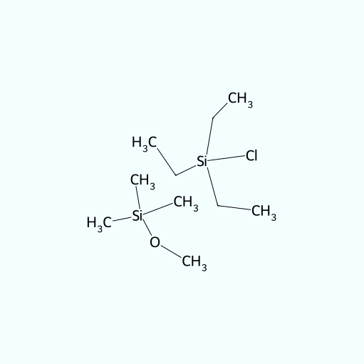 CC[Si](Cl)(CC)CC.CO[Si](C)(C)C